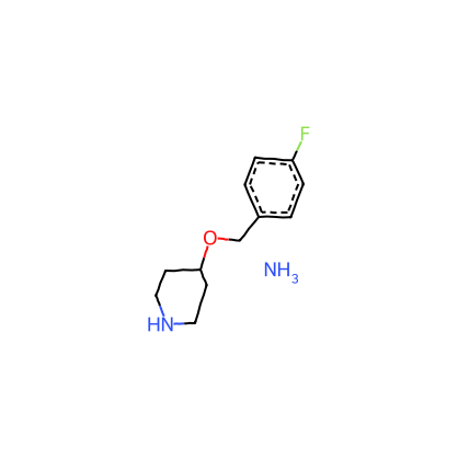 Fc1ccc(COC2CCNCC2)cc1.N